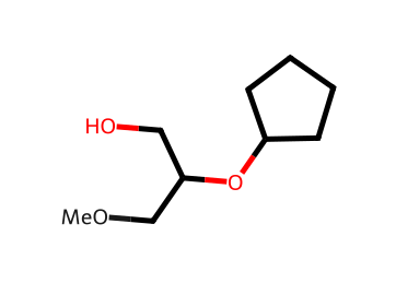 COCC(CO)OC1CCCC1